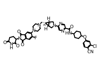 N#Cc1ccc(OC2CCC(NC(=O)c3cnc(N4C[C@@H]5[C@H](CN6CCN(c7cc8c(cc7F)C(=O)N(C7CCC(=O)NC7=O)C8=O)CC6)[C@@H]5C4)cn3)CC2)cc1Cl